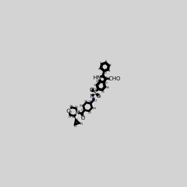 O=Cc1c(-c2ccccc2)[nH]c2cc(S(=O)(=O)/N=C/C3CCC(C(=O)N4CCOC[C@@H]4C4CC4)CC3)ccc12